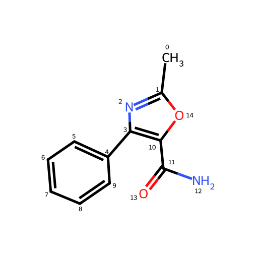 Cc1nc(-c2ccccc2)c(C(N)=O)o1